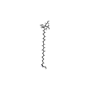 CC/C=C\CCCCCCCCCCCCCCCCCCOP(=O)(O)C(CCC)[N+](C)(C)C